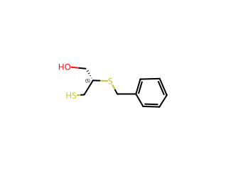 OC[C@@H](CS)SCc1ccccc1